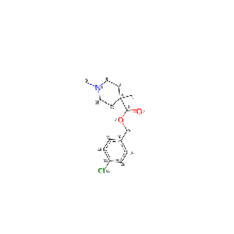 CN1CCC(C)(C(=O)OCc2ccc(Cl)cc2)CC1